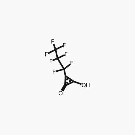 O=c1c(O)c1C(F)(F)C(F)(F)C(F)(F)F